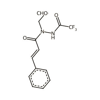 O=[C]CN(NC(=O)C(F)(F)F)C(=O)C=Cc1ccccc1